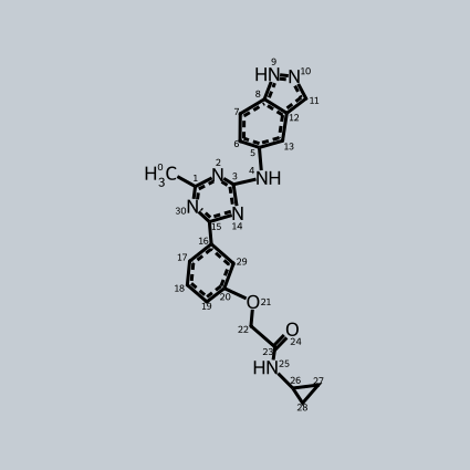 Cc1nc(Nc2ccc3[nH]ncc3c2)nc(-c2cccc(OCC(=O)NC3CC3)c2)n1